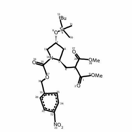 COC(=O)C(C[C@@H]1C[C@@H](O[Si](C)(C)C(C)(C)C)CN1C(=O)OCc1ccc([N+](=O)[O-])cc1)C(=O)OC